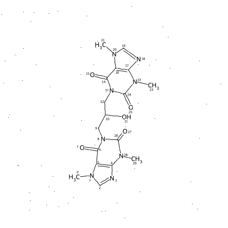 Cn1cnc2c1c(=O)n(CC(O)Cn1c(=O)c3c(ncn3C)n(C)c1=O)c(=O)n2C